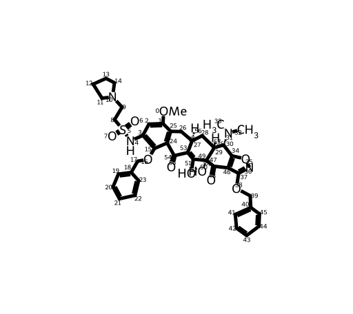 COc1cc(NS(=O)(=O)CCN2CCCC2)c(OCc2ccccc2)c2c1C[C@H]1C[C@H]3[C@H](N(C)C)c4onc(OCc5ccccc5)c4C(=O)[C@@]3(O)C(O)=C1C2=O